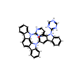 c1cnc(-n2c3ccccc3c3ccc4c5ccccc5n(-c5ccc6c(c5)c5ccccc5n6-c5ncncn5)c4c32)nc1